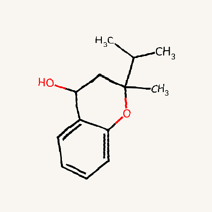 CC(C)C1(C)CC(O)c2ccccc2O1